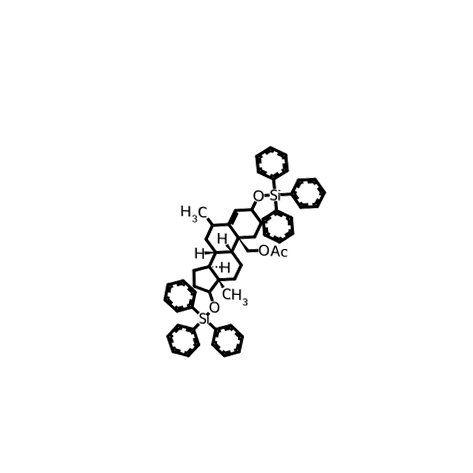 CC(=O)OC[C@]12CCC(O[Si](c3ccccc3)(c3ccccc3)c3ccccc3)C=C1C(C)C[C@@H]1[C@H]2CC[C@]2(C)C(O[Si](c3ccccc3)(c3ccccc3)c3ccccc3)CC[C@@H]12